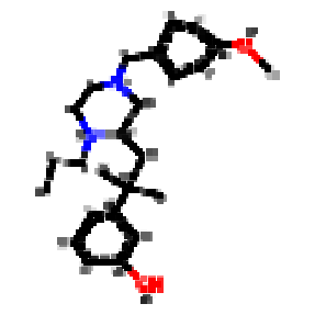 CCCN1CCN(Cc2ccc(OC)cc2)CC1CC(C)(C)c1cccc(O)c1